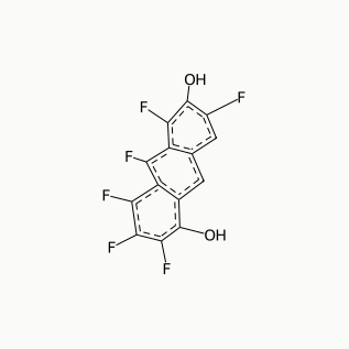 Oc1c(F)cc2cc3c(O)c(F)c(F)c(F)c3c(F)c2c1F